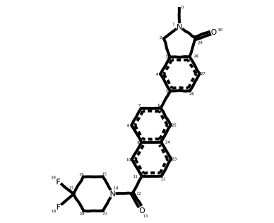 CN1Cc2cc(-c3ccc4cc(C(=O)N5CCC(F)(F)CC5)ccc4c3)ccc2C1=O